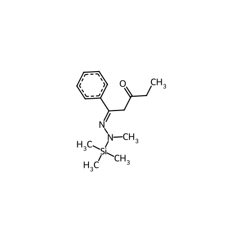 CCC(=O)C/C(=N\N(C)[Si](C)(C)C)c1ccccc1